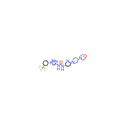 O=C(Nc1ccc(N2CCC(N3CCOCC3)CC2)nc1)Nc1cn(-c2cccc(C(F)(F)F)c2)nn1